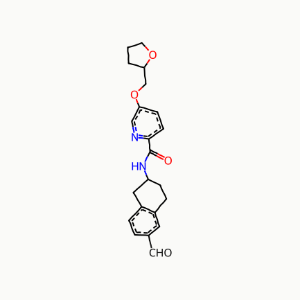 O=Cc1ccc2c(c1)CCC(NC(=O)c1ccc(OCC3CCCO3)cn1)C2